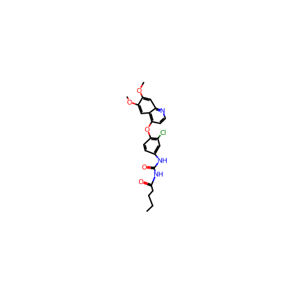 CCCCC(=O)NC(=O)Nc1ccc(Oc2ccnc3cc(OC)c(OC)cc23)c(Cl)c1